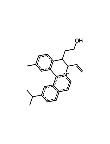 C=CC1C(CCO)c2ccc(C)cc2-c2c3cc(C(C)C)ccc3cc[n+]21